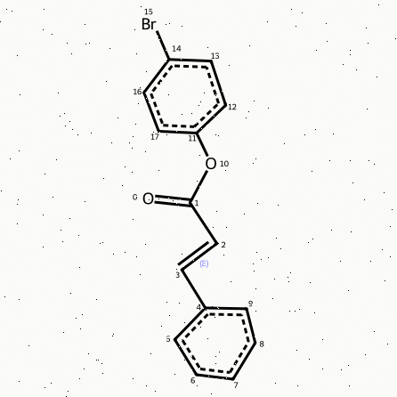 O=C(/C=C/c1ccccc1)Oc1ccc(Br)cc1